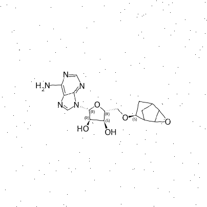 Nc1ncnc2c1ncn2[C@@H]1O[C@H](CO[C@H]2CC3CC2C2OC32)[C@@H](O)[C@H]1O